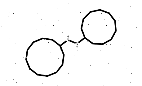 C1CCCCCC(NNC2CCCCCCCCCC2)CCCCC1